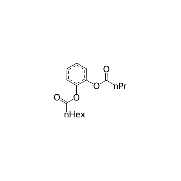 CCCCCCC(=O)Oc1ccccc1OC(=O)CCC